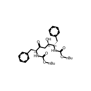 CCCCOC(=O)N[C@@H](Cc1ccccc1)C(=O)C[C@@H](O)[C@H](Cc1ccccc1)NC(=O)OCCCC